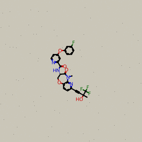 CN1C(=O)[C@@H](NC(=O)c2cc(Oc3cccc(F)c3)ccn2)COc2ccc(C#CC(C)(O)C(F)(F)F)nc21